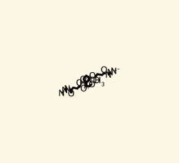 C[C@]12OC[C@H](OC(=O)CCC(=O)N=[N+]=[N-])[C@H]1OC[C@@H]2OC(=O)CCC(=O)N=[N+]=[N-]